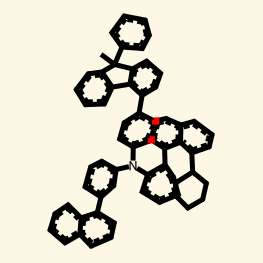 CC1(c2ccccc2)c2ccccc2-c2c(-c3ccc(N(c4cccc(-c5cccc6ccccc56)c4)c4ccccc4-c4cccc5cccc(C6CCCCC6)c45)cc3)cccc21